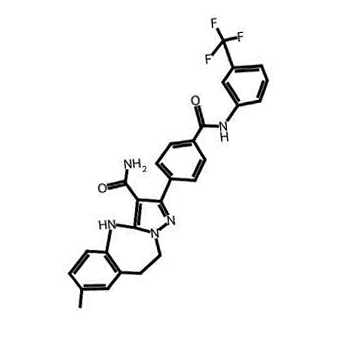 Cc1ccc2c(c1)CCn1nc(-c3ccc(C(=O)Nc4cccc(C(F)(F)F)c4)cc3)c(C(N)=O)c1N2